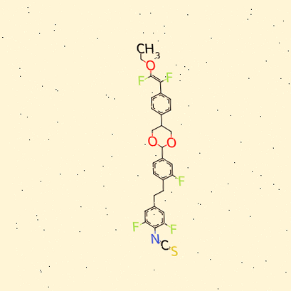 CCO/C(F)=C(\F)c1ccc(C2COC(c3ccc(CCc4cc(F)c(N=C=S)c(F)c4)c(F)c3)OC2)cc1